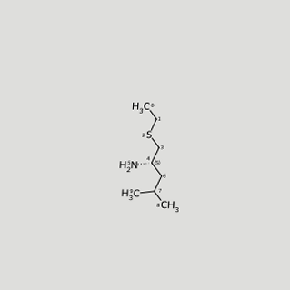 CCSC[C@@H](N)CC(C)C